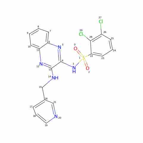 O=S(=O)(Nc1nc2ccccc2nc1NCc1cccnc1)c1cccc(Cl)c1Cl